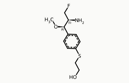 CO[C@H](c1ccc(SCCO)cc1)[C@H](N)CF